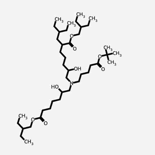 CCC(CC)COC(=O)CCCCC(O)CN(CCCCC(=O)OC(C)(C)C)CC(O)CCCC(CC(CC)CC)C(=O)OCC(CC)CC